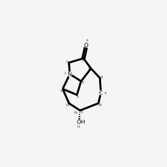 O=C1CN2C3CC2C1CCC[C@H](O)C3